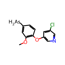 COc1cc([AsH2])ccc1Oc1cncc(Cl)c1